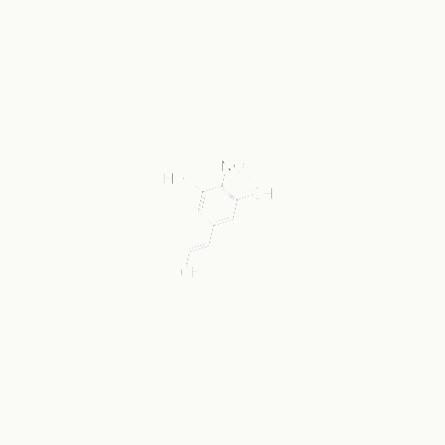 Cc1cc(C=CC(F)(F)F)cc(C)c1[N+](=O)[O-]